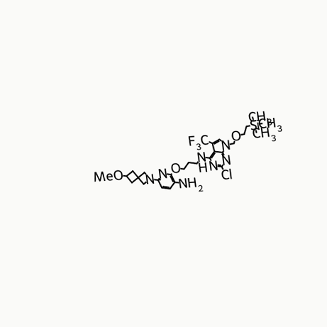 COC1CC2(C1)CN(c1ccc(N)c(OCCCNc3nc(Cl)nc4c3c(C(F)(F)F)cn4COCC[Si](C)(C)C)n1)C2